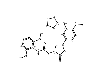 COc1ccc(C2CC(=O)N(CC(=O)Nc3c(OC)ccnc3OC)C2)cc1OC1CCCC1